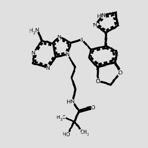 CC(C)(O)C(=O)NCCCn1c(Sc2cc3c(cc2-c2cc[nH]n2)OCO3)nc2c(N)ncnc21